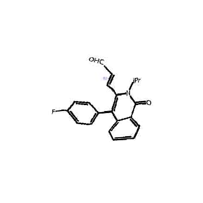 CC(C)n1c(/C=C/C=O)c(-c2ccc(F)cc2)c2ccccc2c1=O